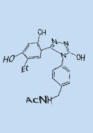 CCc1cc(-c2nnc(O)n2-c2ccc(CNC(C)=O)cc2)c(O)cc1O